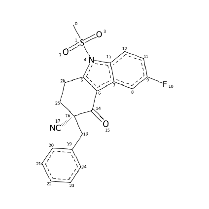 CS(=O)(=O)n1c2c(c3cc(F)ccc31)C(=O)[C@@](C#N)(Cc1ccccc1)CC2